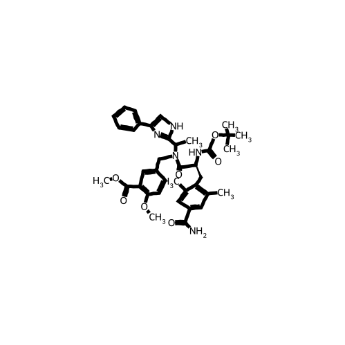 COC(=O)c1cc(CN(C(=O)[C@H](Cc2c(C)cc(C(N)=O)cc2C)NC(=O)OC(C)(C)C)C(C)c2nc(-c3ccccc3)c[nH]2)ccc1OC